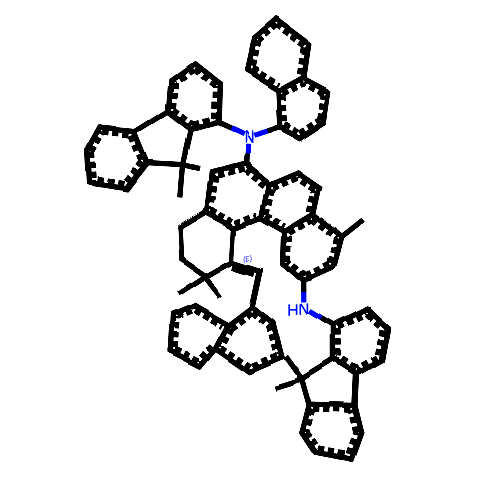 Cc1cc(Nc2cccc3c2C(C)(C)c2ccccc2-3)cc2c1ccc1c(N(c3cccc4c3C(C)(C)c3ccccc3-4)c3cccc4ccccc34)cc3c(c12)/C(=C/c1cccc2ccccc12)C(C)(C)CC3